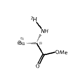 [2H]N[C@H](C(=O)OC)[C@@H](C)CC